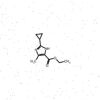 CCOC(=O)c1[nH]c(C2CC2)nc1C